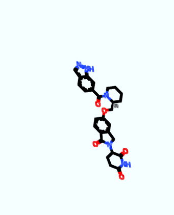 O=C1CCC(N2Cc3cc(OC[C@@H]4CCCCN4C(=O)c4ccc5cn[nH]c5c4)ccc3C2=O)C(=O)N1